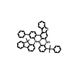 CC(C)(c1ccccc1)c1cccc2c1Nc1cc3sc4ccccc4c3c3c1B2N(c1cccc2c1C(C)(C)c1ccccc1-2)c1cc(-c2ccccc2)ccc1-3